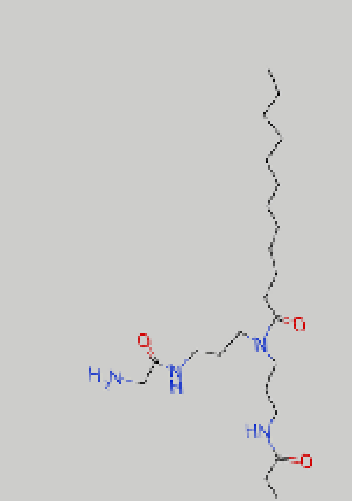 CCCCCCCCCCCC(=O)N(CCCNC(=O)CC)CCCNC(=O)CN